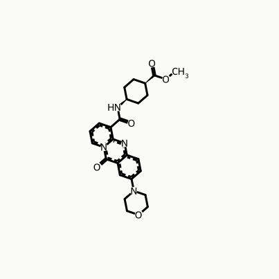 COC(=O)[C@H]1CC[C@@H](NC(=O)c2cccn3c(=O)c4cc(N5CCOCC5)ccc4nc23)CC1